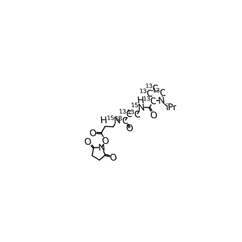 CC(C)N1[13CH2][13CH2][13CH2][13CH]1C(=O)[15NH][13CH2][13CH2][13C](=O)[15NH]CCC(=O)ON1C(=O)CCC1=O